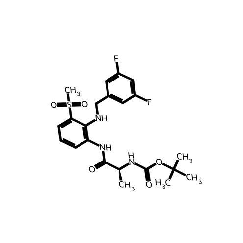 C[C@H](NC(=O)OC(C)(C)C)C(=O)Nc1cccc(S(C)(=O)=O)c1NCc1cc(F)cc(F)c1